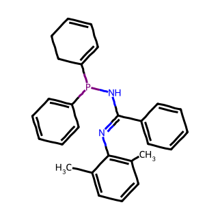 Cc1cccc(C)c1/N=C(/NP(C1=CC=CCC1)c1ccccc1)c1ccccc1